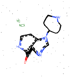 Cl.Cl.O=c1[nH]ccc2c1ncn2C1CCNCC1